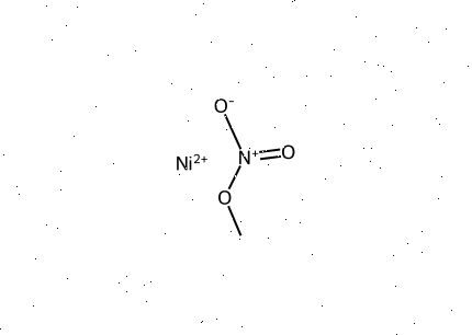 CO[N+](=O)[O-].[Ni+2]